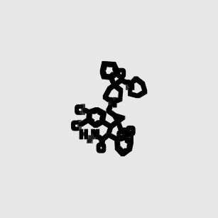 NC(=O)C(c1ccccc1)C(c1ccc(Cl)c(Cl)c1)C1(C(=O)O)CC1CN1CCC(C(=O)N2CCCCC2)(c2ccccc2)CC1